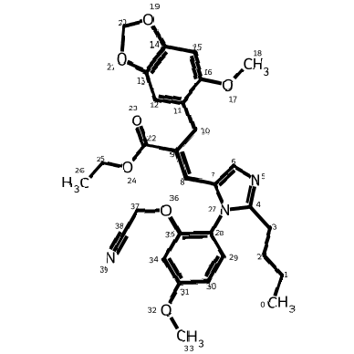 CCCCc1ncc(/C=C(\Cc2cc3c(cc2OC)OCO3)C(=O)OCC)n1-c1ccc(OC)cc1OCC#N